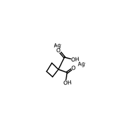 O=C(O)C1(C(=O)O)CCC1.[Ag].[Ag]